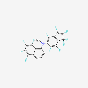 CCCCCCN(c1c(F)c(F)c2c(c1F)C(F)=C(F)C2(F)F)c1cccc2c(F)c(F)c(F)c(F)c12